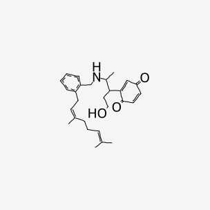 CC(C)=CCCC(C)=CCc1ccccc1CNC(C)C(CCO)C1=CC(=O)C=CC1=O